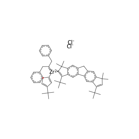 CC(C)(C)C1=CC[C]([Zr+2]([C]2=C(C(C)(C)C)c3cc4c(cc3C2(C)C)Cc2cc3c(cc2-4)C(C(C)(C)C)=CC3(C)C)=[C](Cc2ccccc2)Cc2ccccc2)=C1.[Cl-].[Cl-]